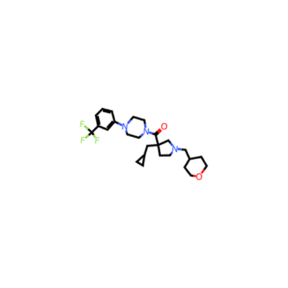 O=C(N1CCN(c2cccc(C(F)(F)F)c2)CC1)C1(CC2CC2)CCN(CC2CCOCC2)C1